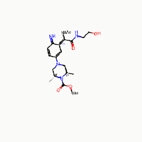 CN/C(C(=O)NCCO)=C1/C=C(N2C[C@@H](C)N(C(=O)OC(C)(C)C)[C@H](C)C2)C=CC1=N